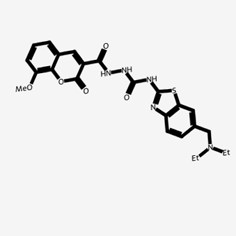 CCN(CC)Cc1ccc2nc(NC(=O)NNC(=O)c3cc4cccc(OC)c4oc3=O)sc2c1